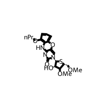 CCCOc1cccc2c1Nc1nc(=O)n([C@@H]3S[C@H](COC)C(OC)[C@@H]3O)cc1O2